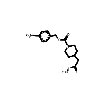 CC(C)(C)OC(=O)CC1CCN(C(=O)OCc2ccc([N+](=O)[O-])cc2)CC1